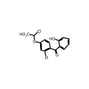 O=C(c1ccccc1O)c1ccc(OC(Cl)C(=O)O)cc1Cl